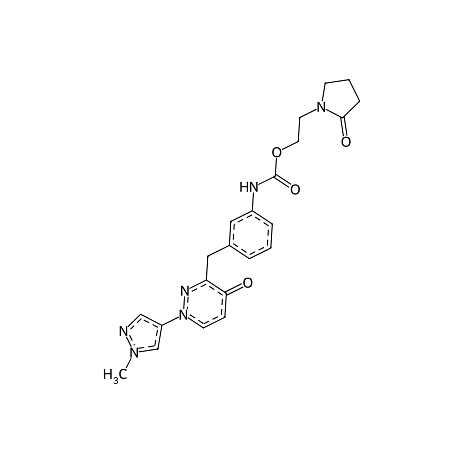 Cn1cc(-n2ccc(=O)c(Cc3cccc(NC(=O)OCCN4CCCC4=O)c3)n2)cn1